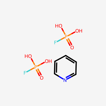 O=P(O)(O)F.O=P(O)(O)F.c1ccncc1